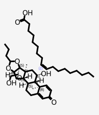 CCCC1O[C@@H]2C[C@H]3[C@@H]4CCC5=CC(=O)C=C[C@]5(C)[C@H]4[C@@H](O)C[C@]3(C)[C@]2(C(=O)CO)O1.CCCCCCCC/C=C\CCCCCCCC(=O)O